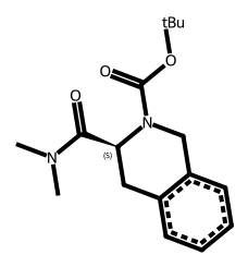 CN(C)C(=O)[C@@H]1Cc2ccccc2CN1C(=O)OC(C)(C)C